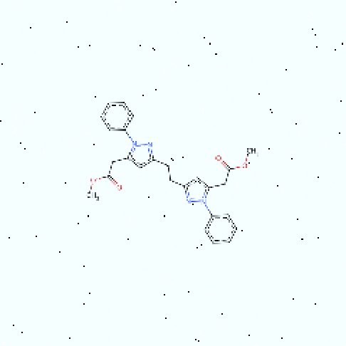 COC(=O)Cc1cc(CCc2cc(CC(=O)OC)n(-c3ccccc3)n2)nn1-c1ccccc1